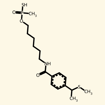 CSC(C)c1ccc(C(=O)NCCCCCCOP(C)(=O)S)cc1